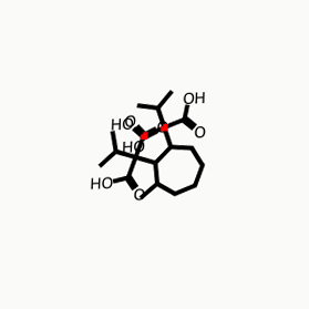 CC1CCCCC(C(C(=O)O)(C(=O)O)C(C)C)C1C(C(=O)O)(C(=O)O)C(C)C